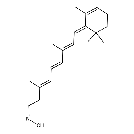 CC1=CCCC(C)(C)\C1=C/C=C(C)/C=C/C=C(\C)C/C=N\O